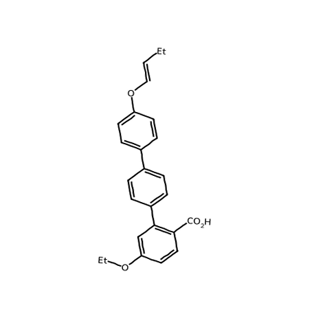 CCC=COc1ccc(-c2ccc(-c3cc(OCC)ccc3C(=O)O)cc2)cc1